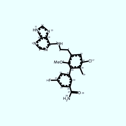 COc1c(CCNc2ncnc3[nH]cnc23)cc(Cl)c(C)c1-c1cc(F)cc(C(N)=O)c1